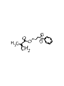 C=C(C)C(=O)OCCC[Si](Cl)(Cl)c1ccccc1